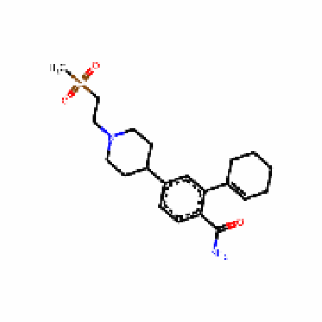 CS(=O)(=O)CCN1CCC(c2ccc(C(N)=O)c(C3=CCCCC3)c2)CC1